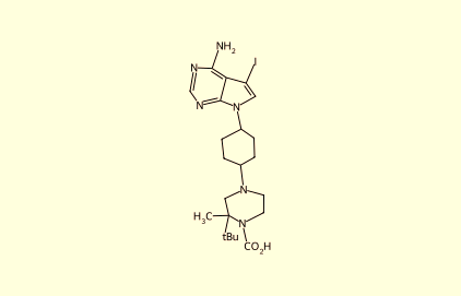 CC(C)(C)C1(C)CN(C2CCC(n3cc(I)c4c(N)ncnc43)CC2)CCN1C(=O)O